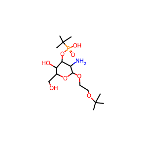 CC(C)(C)OCCOC1OC(CO)C(O)C(OP(=O)(O)C(C)(C)C)C1N